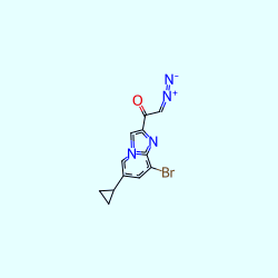 [N-]=[N+]=CC(=O)c1cn2cc(C3CC3)cc(Br)c2n1